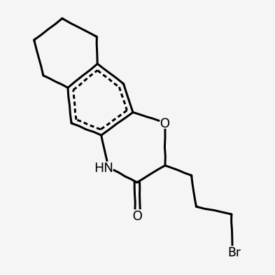 O=C1Nc2cc3c(cc2OC1CCCBr)CCCC3